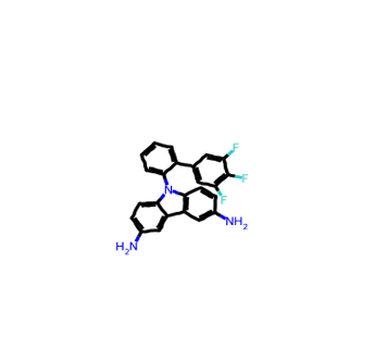 Nc1ccc2c(c1)c1cc(N)ccc1n2-c1ccccc1-c1cc(F)c(F)c(F)c1